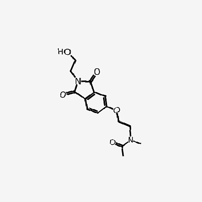 CC(=O)N(C)CCOc1ccc2c(c1)C(=O)N(CCO)C2=O